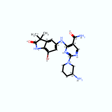 CC1(C)C(=O)Nc2c(Br)cc(Nc3nc(N4CCC[C@H](N)C4)ncc3C(N)=O)cc21